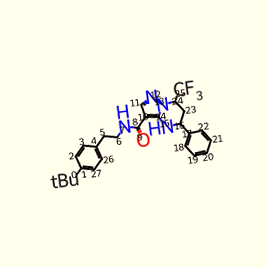 CC(C)(C)c1ccc(CCNC(=O)c2cnn3c2NC(c2ccccc2)C[C@@H]3C(F)(F)F)cc1